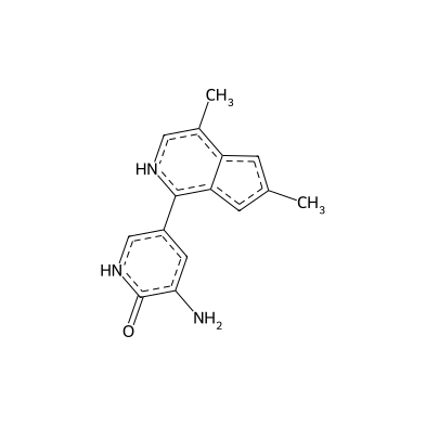 Cc1cc2c(C)c[nH]c(-c3c[nH]c(=O)c(N)c3)c-2c1